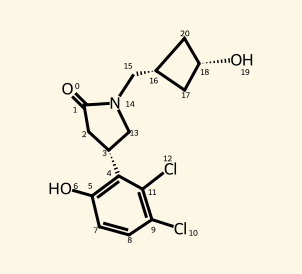 O=C1C[C@@H](c2c(O)ccc(Cl)c2Cl)CN1C[C@H]1C[C@@H](O)C1